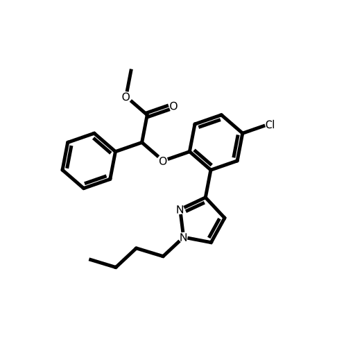 CCCCn1ccc(-c2cc(Cl)ccc2OC(C(=O)OC)c2ccccc2)n1